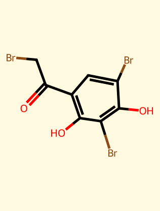 O=C(CBr)c1cc(Br)c(O)c(Br)c1O